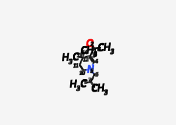 CC(=O)C1=CN(CC(C)C)CCC1(C)C